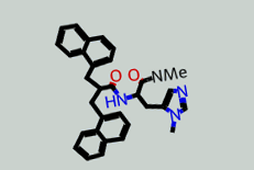 CNC(=O)C(Cc1cncn1C)NC(=O)C(Cc1cccc2ccccc12)Cc1cccc2ccccc12